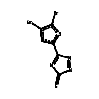 S=C1N=NC(c2cc(Br)c(Br)s2)=N1